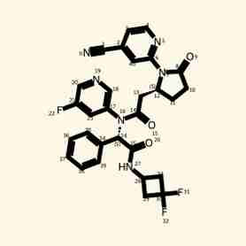 N#Cc1ccnc(N2C(=O)CC[C@H]2CC(=O)N(c2cncc(F)c2)[C@H](C(=O)NC2CC(F)(F)C2)c2ccccc2)c1